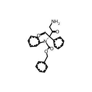 NCC(=O)[C@]([C]=O)(c1ccccc1)N(C(=O)OCc1ccccc1)c1ccccc1